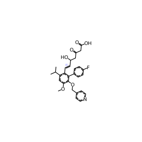 COc1cc(C(C)C)c(/C=C/C(O)CC(=O)CC(=O)O)c(-c2ccc(F)cc2)c1OCc1ccncc1